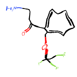 NCC(=O)c1ccccc1OC(F)(F)F